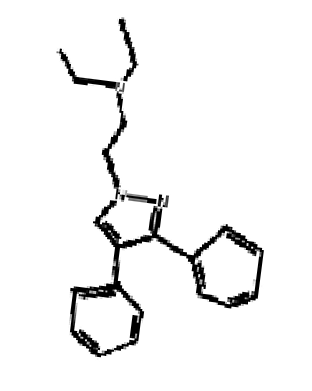 CCN(CC)CCn1cc(-c2ccccc2)c(-c2ccccc2)n1